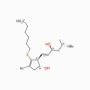 CCCC[C@@H](C)C[C@H](O)/C=C/[C@@H]1C(SCCCCCC(=O)O)=C(C(C)=O)C[C@H]1O